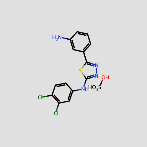 Nc1cccc(-c2nnc(Nc3ccc(Cl)c(Cl)c3)s2)c1.O=S(=O)(O)O